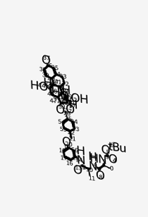 C[C@H](NC(=O)OC(C)(C)C)C(=O)N[C@@H](C)C(=O)Nc1cccc(OCc2ccc([C@@H]3O[C@@H]4C[C@H]5[C@@H]6CCC7=CC(=O)C=C[C@]7(C)[C@H]6[C@@H](O)C[C@]5(C)[C@]4(C(=O)CO)O3)cc2)c1